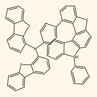 c1ccc([SiH]2c3ccccc3-c3c2ccc2sc4cccc(-c5ccc(N(c6cccc7c6sc6ccccc67)c6cccc7c6sc6ccccc67)cc5)c4c32)cc1